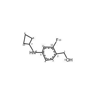 OCc1ccc(NC2CCC2)cc1F